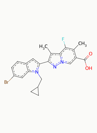 Cc1c(C(=O)O)cn2nc(-c3cc4ccc(Br)cc4n3CC3CC3)c(C)c2c1F